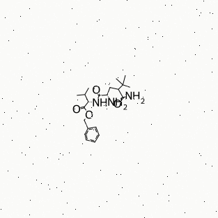 CC(C)[C@H](NC(=O)[C@@H](N)CC(C(N)=O)C(C)(C)C)C(=O)OCc1ccccc1